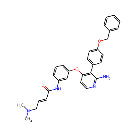 CN(C)C/C=C/C(=O)Nc1cccc(Oc2ccnc(N)c2-c2ccc(OCc3ccccc3)cc2)c1